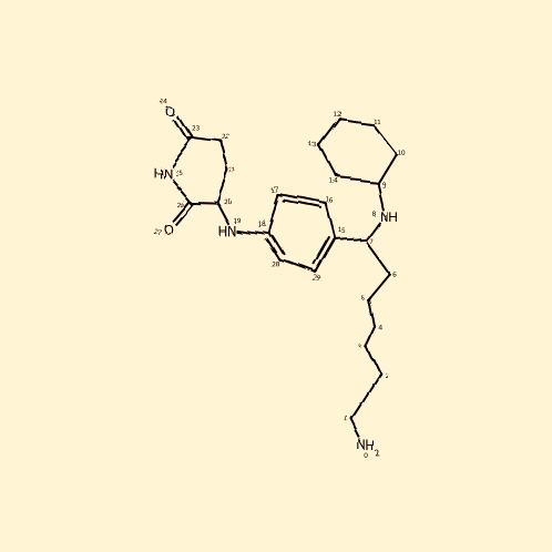 NCCCCCCC(NC1CCCCC1)c1ccc(NC2CCC(=O)NC2=O)cc1